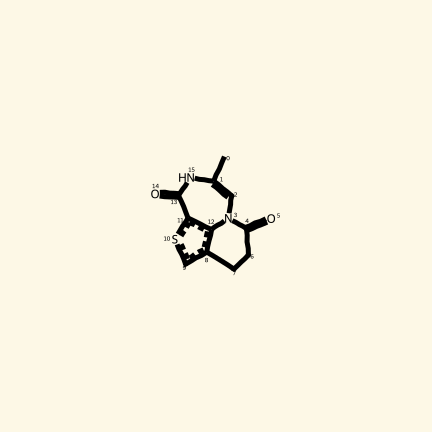 CC1=CN2C(=O)CCc3csc(c32)C(=O)N1